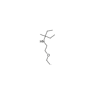 [CH2]COCCNC(C)(CC)CC